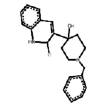 OC1(C2=Cc3ccccc3NC2Cl)CCN(Cc2ccccc2)CC1